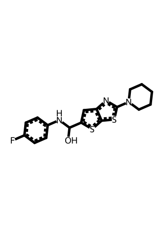 OC(Nc1ccc(F)cc1)c1cc2nc(N3CCCCC3)sc2s1